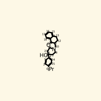 CC(C)c1ccc(C2(O)CCN(CC3CCc4ccccc4C3=O)CC2)cc1